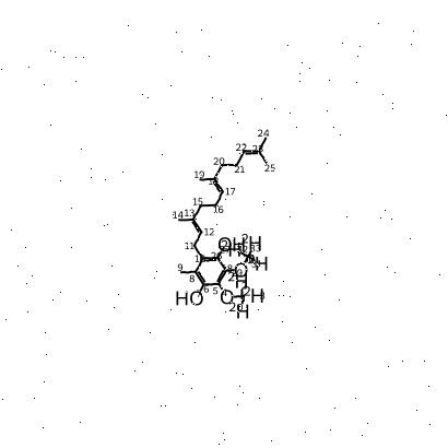 [2H]C([2H])([2H])Oc1c(O)c(C)c(C/C=C(\C)CC/C=C(\C)CCC=C(C)C)c(O)c1OC([2H])([2H])[2H]